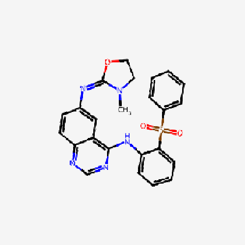 CN1CCOC1=Nc1ccc2ncnc(Nc3ccccc3S(=O)(=O)c3ccccc3)c2c1